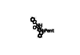 CCCCCN1N=C(C(=O)NC2Cc3ccccc3C2)CC1c1ccccc1F